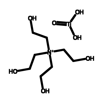 OCC[N+](CCO)(CCO)CCO.[O]=[Ti]([OH])[OH]